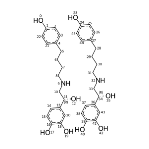 Oc1ccc(CCCCNC[C@H](O)c2ccc(O)c(O)c2)cc1.Oc1ccc(CCCCNC[C@H](O)c2ccc(O)c(O)c2)cc1